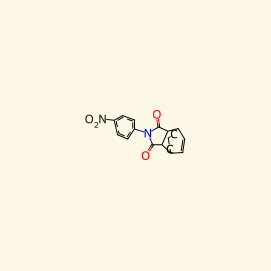 O=C1C2C3C=CC(CCC3)C2C(=O)N1c1ccc([N+](=O)[O-])cc1